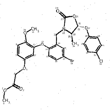 COC(=O)COc1ccc(OC)c(Oc2ccc(Br)cc2CN2C(=O)O[C@H](Oc3ccc(Cl)cc3)[C@H]2C)c1